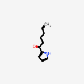 C=CCCCC(=O)c1ccc[nH]1